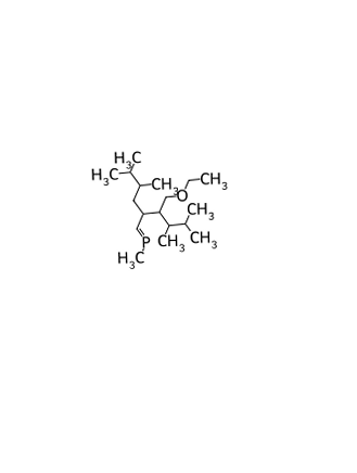 CCOCC(C(/C=P/C)CC(C)C(C)C)C(C)C(C)C